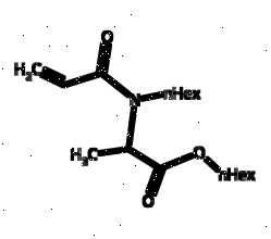 C=CC(=O)N(CCCCCC)C(C)C(=O)OCCCCCC